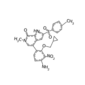 Cc1ccc(S(=O)(=O)c2cc3c(-c4ccc(N)c([N+](=O)[O-])c4OCC4CC4)cn(C)c(=O)c3[nH]2)cc1